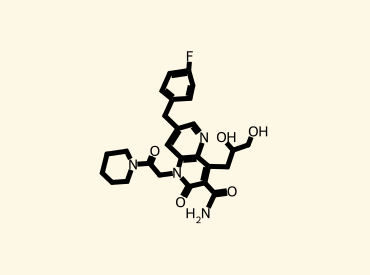 NC(=O)c1c(CC(O)CO)c2ncc(Cc3ccc(F)cc3)cc2n(CC(=O)N2CCCCC2)c1=O